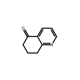 O=C1CCCc2n[c]ccc21